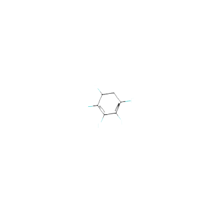 FC1=C(F)C(F)=C(F)C(F)C1